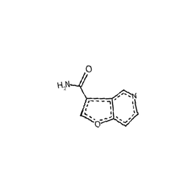 NC(=O)c1coc2ccncc12